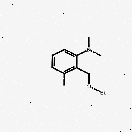 CCOCc1c(C)ccc[c]1[Bi]([CH3])[CH3]